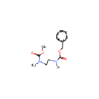 C[CH]N(CCN(C)C(=O)OC(C)(C)C)C(=O)OCc1ccccc1